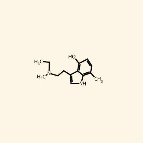 CCN(C)CCc1c[nH]c2c(C)ccc(O)c12